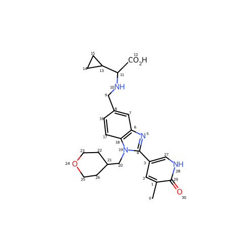 Cc1cc(-c2nc3cc(CNC(C(=O)O)C4CC4)ccc3n2CC2CCOCC2)c[nH]c1=O